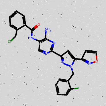 Nc1nc(-c2cc(-c3ccon3)n(Cc3ccccc3F)n2)ncc1NC(=O)c1ccccc1CCl